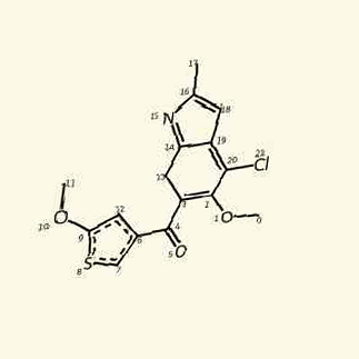 COC1=C(C(=O)c2csc(OC)c2)CC2=NC(C)=[C]C2=C1Cl